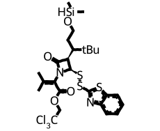 CC(C)=C(C(=O)OCC(Cl)(Cl)Cl)N1C(=O)[C@@H](C(CCO[SiH](C)C)C(C)(C)C)[C@H]1SSc1nc2ccccc2s1